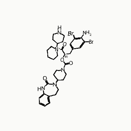 Nc1c(Br)cc(C[C@@H](OC(=O)N2CCC(N3CCc4ccccc4NC3=O)CC2)C(=O)[N+]2(C3CCNCC3)CCCCC2)cc1Br